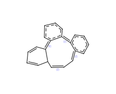 C1=C\C2=c3/cccc/c3=c3\cccc\c3=C\C=C/C2C=C1